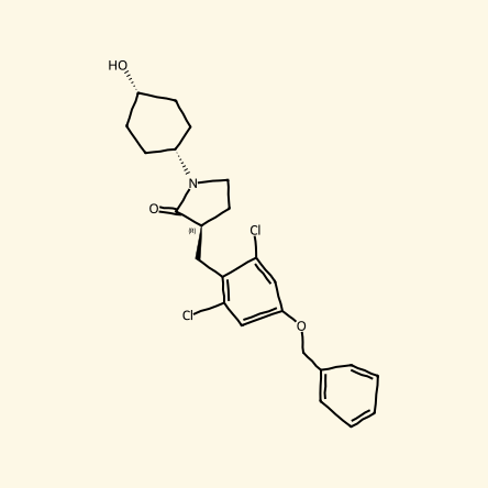 O=C1[C@H](Cc2c(Cl)cc(OCc3ccccc3)cc2Cl)CCN1[C@H]1CC[C@@H](O)CC1